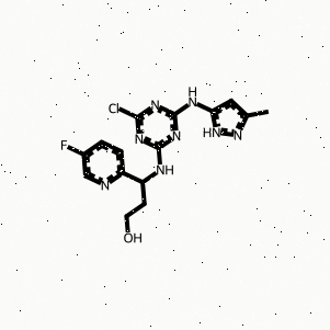 Cc1cc(Nc2nc(Cl)nc(NC(CCO)c3ccc(F)cn3)n2)[nH]n1